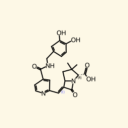 CC1(C)CC2/C(=C\c3cc(C(=O)NCc4ccc(O)c(O)c4)ccn3)C(=O)N2[C@H]1C(=O)O